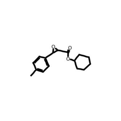 Cc1ccc(C2OC2C(=O)OC2CCCCC2)cc1